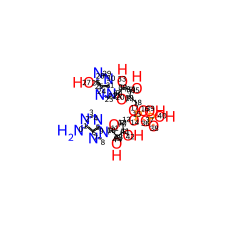 Nc1ncnc2c1ncn2[C@@H]1O[C@H](COP(=O)(OC[C@H]2O[C@@H](n3cnc4c(O)ncnc43)[C@H](O)[C@@H]2O)OP(=O)(O)O)[C@@H](O)[C@H]1O